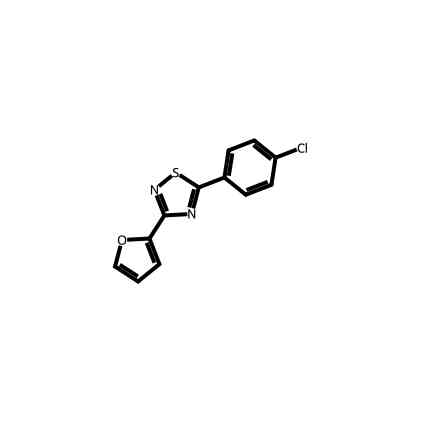 Clc1ccc(-c2nc(-c3ccco3)ns2)cc1